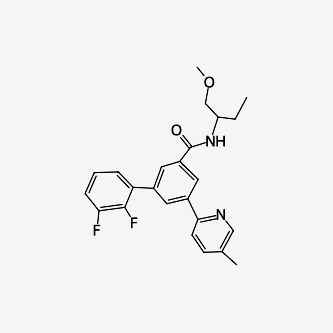 CCC(COC)NC(=O)c1cc(-c2ccc(C)cn2)cc(-c2cccc(F)c2F)c1